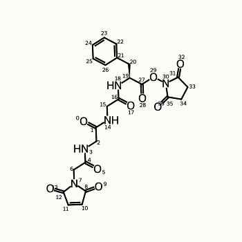 O=C(CNC(=O)CN1C(=O)C=CC1=O)NCC(=O)N[C@@H](Cc1ccccc1)C(=O)ON1C(=O)CCC1=O